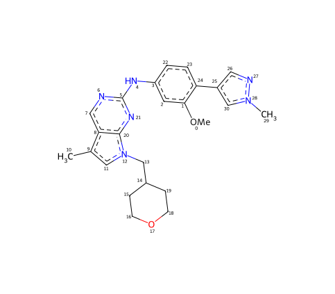 COc1cc(Nc2ncc3c(C)cn(CC4CCOCC4)c3n2)ccc1-c1cnn(C)c1